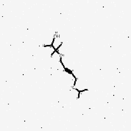 CC(C)OCC#CCOC(C)(C)C(C)O